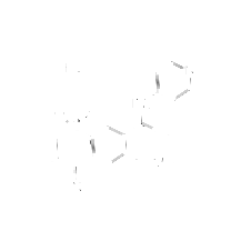 COc1cc2c(cc1C(=O)Nc1ccncc1)S(=O)(=O)CCC2N.Cl.Cl